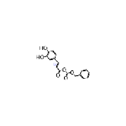 O=C(/C=C/c1ccc(O)c(O)c1)OC(=O)OCc1ccccc1